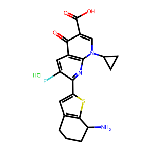 Cl.NC1CCCc2cc(-c3nc4c(cc3F)c(=O)c(C(=O)O)cn4C3CC3)sc21